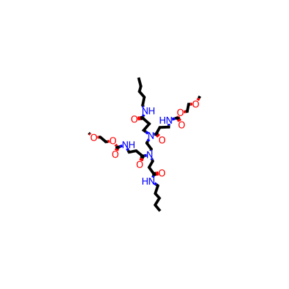 CCCCCNC(=O)CCN(CCN(CCC(=O)NCCCCC)C(=O)CCNC(=O)OCCOC)C(=O)CCNC(=O)OCCOC